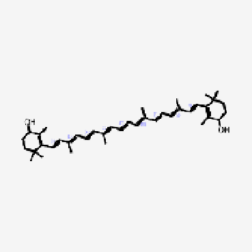 CC1=C(/C=C/C(C)=C/C=C/C(C)=C/C=C/C=C(C)/C=C/C=C(C)/C=C/C2=C(C)C(O)CCC2(C)C)C(C)(C)CCC1O